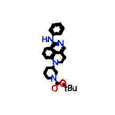 CC(C)(C)OC(=O)N1CCCC(N2CCc3cnc(Nc4ccccc4)c4cccc2c34)C1